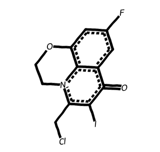 O=c1c(I)c(CCl)n2c3c(cc(F)cc13)OCC2